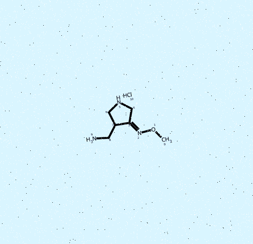 CO/N=C1\CNCC1CN.Cl